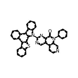 O=c1c2nc(-n3c4ccccc4c4c5ccccc5c5c6ccccc6sc5c43)ncc2c2ccncc2n1-c1ccccc1